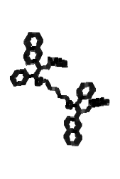 CNCC(c1ccc2ccccc2c1)C(OCCCCCOC(c1ccccc1)C(CNC)c1ccc2ccccc2c1)c1ccccc1